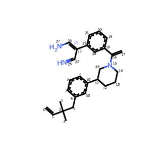 C=CC(C)(C)Cc1cccc(C2CCCN(C(=C)c3cccc(/C(C=N)=C/N)c3)C2)c1